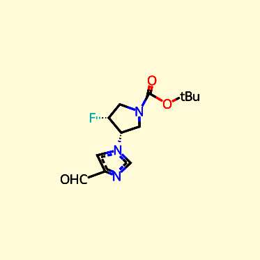 CC(C)(C)OC(=O)N1C[C@@H](F)[C@@H](n2cnc(C=O)c2)C1